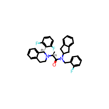 C[C@@H](C(=O)N(Cc1ccccc1F)C1Cc2ccccc2C1)N1CCc2ccccc2[C@@H]1c1c(F)cccc1F